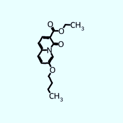 CCCCOc1ccc2ccc(C(=O)OCC)c(=O)n2c1